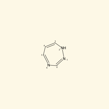 [C]1=NNC=CC=N1